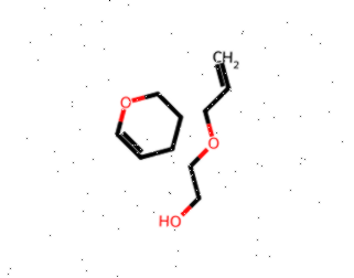 C1=COCCC1.C=CCOCCO